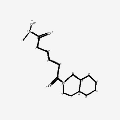 CCCN(C)C(=O)CCCCC(=O)N1CCC2CCCCC2C1